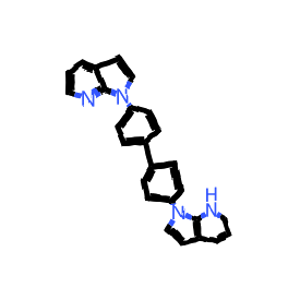 C1=Cc2ccn(-c3ccc(-c4ccc(-n5ccc6cccnc65)cc4)cc3)c2NC1